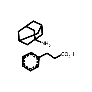 NC12CC3CC(CC(C3)C1)C2.O=C(O)CCc1ccccc1